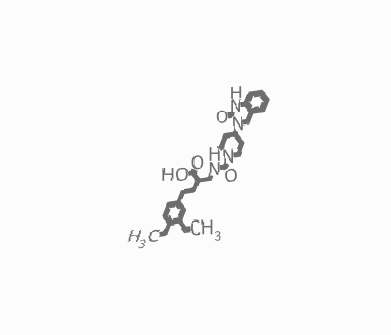 CCc1ccc(CCC(CNC(=O)N2CCC(N3Cc4ccccc4NC3=O)CC2)C(=O)O)cc1CC